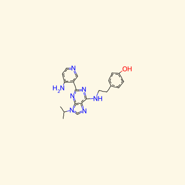 CC(C)n1cnc2c(NCCc3ccc(O)cc3)nc(-c3cnccc3N)nc21